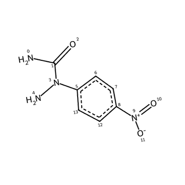 NC(=O)N(N)c1ccc([N+](=O)[O-])cc1